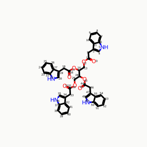 O=C(Cc1c[nH]c2ccccc12)OCC(OC(=O)Cc1c[nH]c2ccccc12)C(COC(=O)Cc1c[nH]c2ccccc12)OC(=O)Cc1c[nH]c2ccccc12